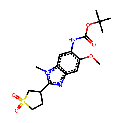 COc1cc2nc(C3CCS(=O)(=O)C3)n(C)c2cc1NC(=O)OC(C)(C)C